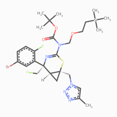 Cc1cn(C[C@]23C[C@H]2[C@@](CF)(c2cc(Br)ccc2F)N=C(N(COCC[Si](C)(C)C)C(=O)OC(C)(C)C)S3)nn1